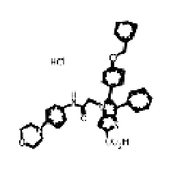 Cl.O=C(Cn1c(-c2ccc(OCc3ccccc3)cc2)c(-c2ccccc2)c2sc(C(=O)O)cc21)Nc1ccc(N2CCOCC2)cc1